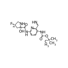 CC(C)(C)OC(=O)Nc1ccc(NC(=O)[C@@]2(O)C[C@@H](F)CN2)nc1C=N